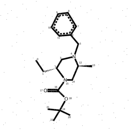 CC[C@@H]1CN(Cc2ccccc2)[C@@H](C)CN1C(=O)OC(C)(C)C